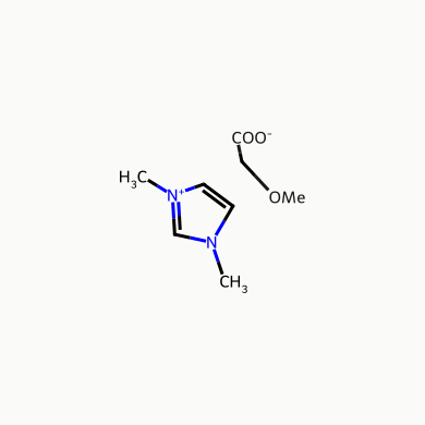 COCC(=O)[O-].Cn1cc[n+](C)c1